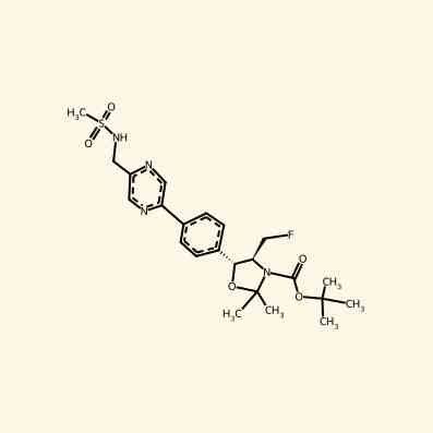 CC(C)(C)OC(=O)N1[C@H](CF)[C@@H](c2ccc(-c3cnc(CNS(C)(=O)=O)cn3)cc2)OC1(C)C